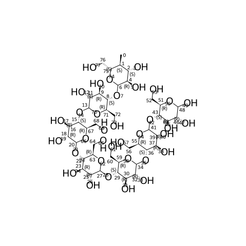 C[C@H]1[C@H](O)[C@@H](O)C(O[C@H]2[C@H](O)[C@@H](O)C(O[C@H]3[C@H](O)[C@@H](O)C(O[C@H]4[C@H](O)[C@@H](O)C(O[C@H]5[C@H](O)[C@@H](O)C(O[C@H]6[C@H](O)[C@@H](O)C(O[C@H]7[C@H](O)[C@@H](O)C(O)O[C@@H]7CO)O[C@@H]6CO)O[C@@H]5CO)O[C@@H]4CO)O[C@@H]3CO)O[C@@H]2CO)O[C@@H]1CO